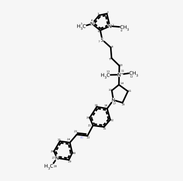 Cn1cc[n+](C)c1SCCC[N+](C)(C)C1CCN(c2ccc(/C=C/c3cc[n+](C)cc3)cc2)C1